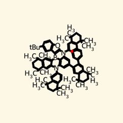 CC(C)(C)c1ccc2oc3c(c2c1)B1c2cc4c(cc2N(c2ccc5c(c2)C(C)(C)CCC5(C)C)c2cc(-c5cc6c(cc5-c5ccccc5)C(C)(C)CCC6(C)C)cc(c21)N3c1ccc2c(c1)C(C)(C)CCC2(C)C)C(C)(C)CCC4(C)C